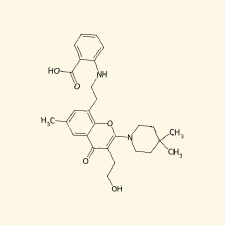 Cc1cc(CCNc2ccccc2C(=O)O)c2oc(N3CCC(C)(C)CC3)c(CCO)c(=O)c2c1